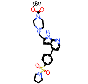 CC(C)(C)OC(=O)N1CCN(Cc2cc3c(-c4ccc(S(=O)(=O)N5CCCC5)cc4)ccnc3[nH]2)CC1